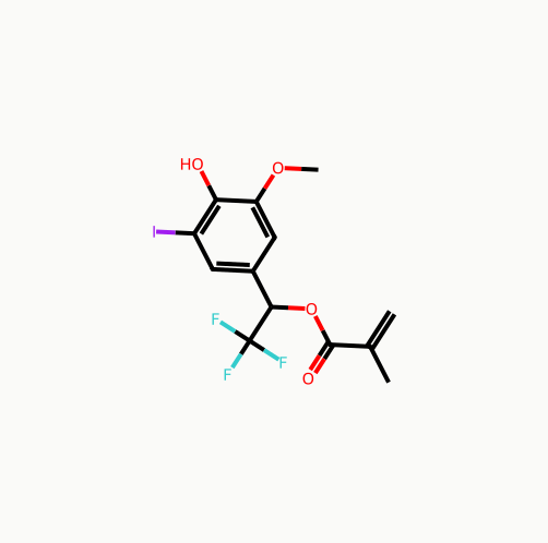 C=C(C)C(=O)OC(c1cc(I)c(O)c(OC)c1)C(F)(F)F